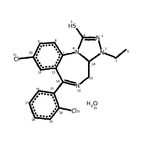 CCN1N=C(S)N2c3ccc(Cl)cc3C(c3ccccc3Cl)=NCC12.O